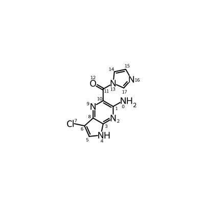 Nc1nc2[nH]cc(Cl)c2nc1C(=O)n1ccnc1